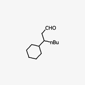 CCCCC(CC=O)C1CCCCC1